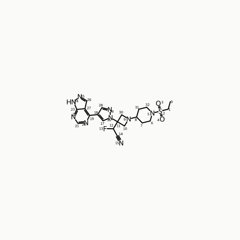 CCS(=O)(=O)N1CCC(N2CC(C(F)C#N)(n3cc(-c4ncnc5[nH]ncc45)cn3)C2)CC1